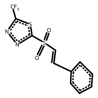 O=S(=O)(C=Cc1ccccc1)c1nnc(C(F)(F)F)s1